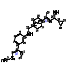 C=N/C(=C\SCCC)c1cccc(NCC23CCC(/C(C)=N/C(=N)C4CC4)(CC2)CC3)c1